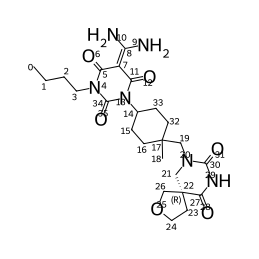 CCCCN1C(=O)C(=C(N)N)C(=O)N(C2CCC(C)(CN3C[C@@]4(CCOC4)C(=O)NC3=O)CC2)C1=O